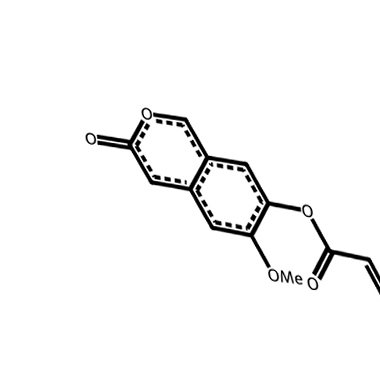 C=CC(=O)Oc1cc2coc(=O)cc2cc1OC